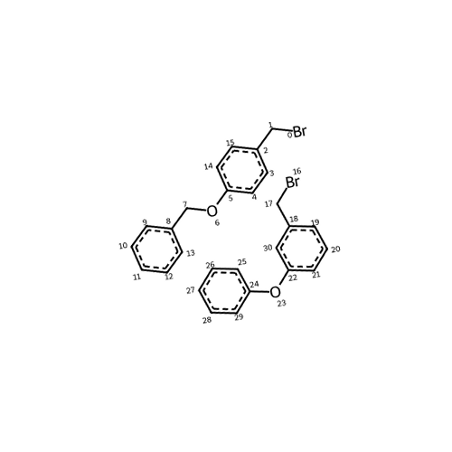 BrCc1ccc(OCc2ccccc2)cc1.BrCc1cccc(Oc2ccccc2)c1